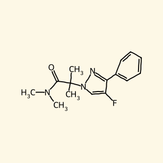 CN(C)C(=O)C(C)(C)n1cc(F)c(-c2ccccc2)n1